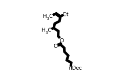 CC=C(CC)CCC(C)CCOC(=O)CCCCCCCCCCCCCCC